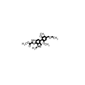 CCOCc1cc(OC)c(-c2ccc(SC(N)C(=O)OC)c3c2cnn3C)c(OC)c1